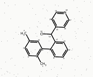 Cc1ccc(C)c(-c2ccccc2C(Cl)c2ccncc2)c1